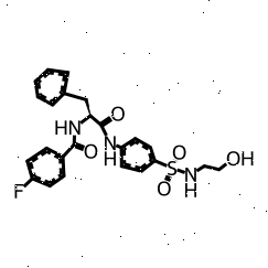 O=C(N[C@@H](Cc1ccccc1)C(=O)Nc1ccc(S(=O)(=O)NCCO)cc1)c1ccc(F)cc1